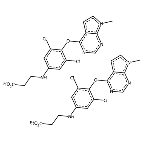 CCOC(=O)CCNc1cc(Cl)c(Oc2ncnc3c2ccn3C)c(Cl)c1.Cn1ccc2c(Oc3c(Cl)cc(NCCC(=O)O)cc3Cl)ncnc21